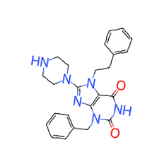 O=c1[nH]c(=O)n(Cc2ccccc2)c2nc(N3CCNCC3)n(CCc3ccccc3)c12